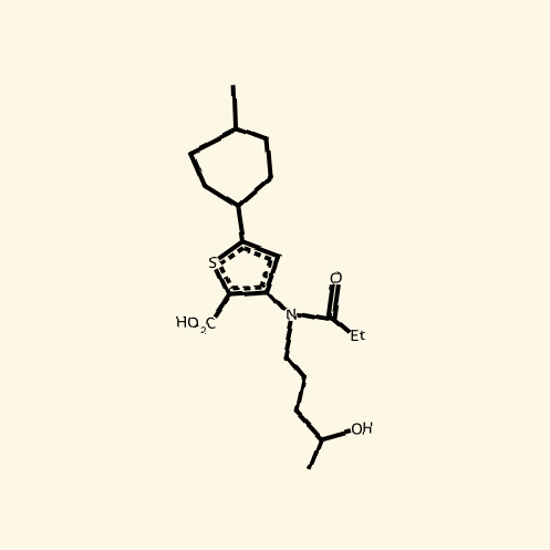 CCC(=O)N(CCCC(C)O)c1cc(C2CCC(C)CC2)sc1C(=O)O